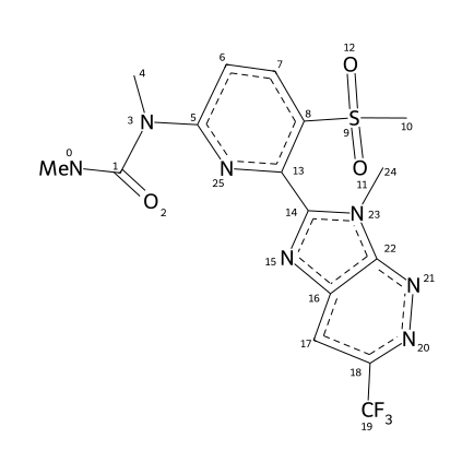 CNC(=O)N(C)c1ccc(S(C)(=O)=O)c(-c2nc3cc(C(F)(F)F)nnc3n2C)n1